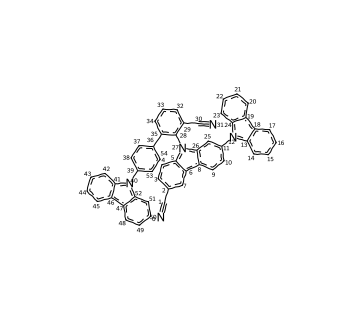 N#Cc1ccc2c(c1)c1ccc(-n3c4ccccc4c4ccccc43)cc1n2-c1c(C#N)cccc1-c1ccc(-n2c3ccccc3c3ccccc32)cc1